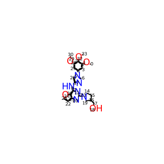 COc1cc(-n2cnc(Nc3nc(N4CCC(CO)C4)nc4ccoc34)c2)cc(OC)c1OC